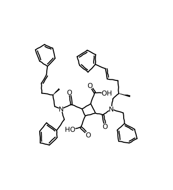 C[C@H](C/C=C/c1ccccc1)CN(Cc1ccccc1)C(=O)C1C(C(=O)O)C(C(=O)N(Cc2ccccc2)C[C@H](C)C/C=C/c2ccccc2)C1C(=O)O